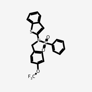 O=S(=O)(c1ccccc1)N(Cc1ccc(OC(F)(F)F)cc1)c1cc2ccccc2s1